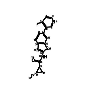 Cc1ccncc1-c1ccc2nc(NC(=O)[C@H]3C[C@@H]3F)sc2c1